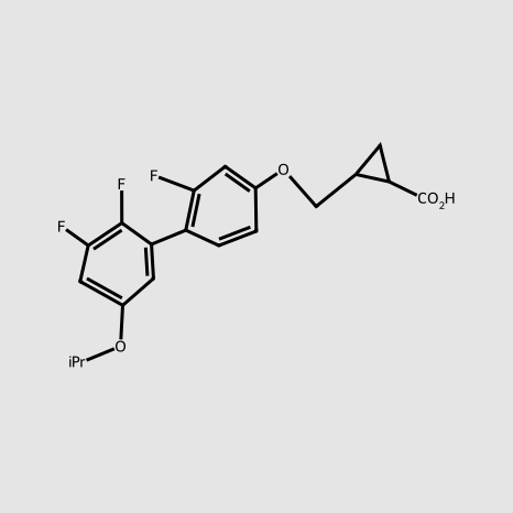 CC(C)Oc1cc(F)c(F)c(-c2ccc(OCC3CC3C(=O)O)cc2F)c1